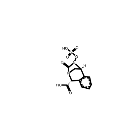 O=C(O)[C@H]1c2ccccc2[C@H]2CN1C(=O)N2OS(=O)(=O)O